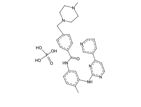 Cc1ccc(NC(=O)c2ccc(CN3CCN(C)CC3)cc2)cc1Nc1nccc(-c2cccnc2)n1.O=P(O)(O)O